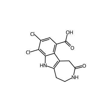 O=C1Cc2c([nH]c3c(Cl)c(Cl)cc(C(=O)O)c23)CCN1